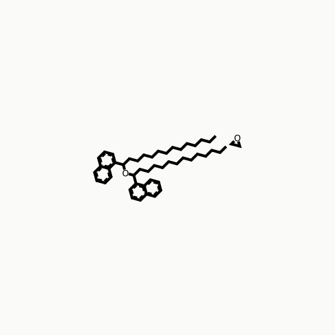 C1CO1.CCCCCCCCCCCCCC(OC(CCCCCCCCCCCCC)c1cccc2ccccc12)c1cccc2ccccc12